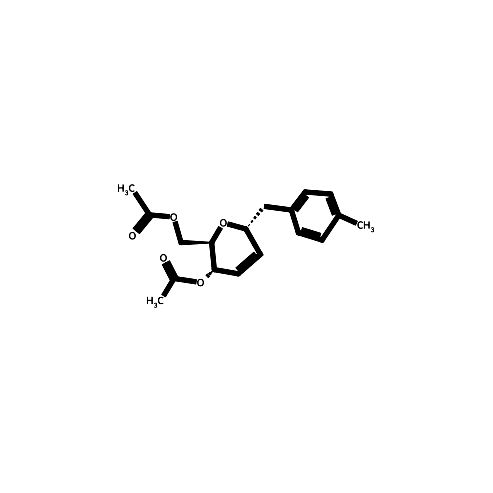 CC(=O)OC[C@H]1O[C@H](Cc2ccc(C)cc2)C=C[C@@H]1OC(C)=O